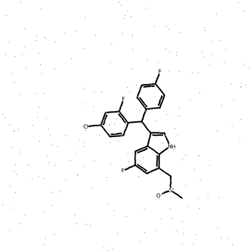 C[S+]([O-])Cc1cc(F)cc2c(C(c3ccc(F)cc3)c3ccc(Cl)cc3F)c[nH]c12